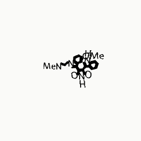 CNCCCn1cc(C2=C(c3c[nH]c4ccccc34)C(=O)NC2=O)c2cc(OC)ccc21